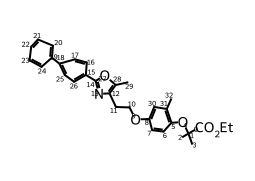 CCOC(=O)C(C)(C)Oc1ccc(OCCc2nc(-c3ccc(-c4ccccc4)cc3)oc2C)cc1C